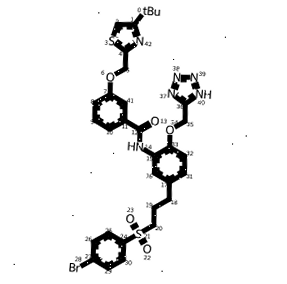 CC(C)(C)c1csc(COc2cccc(C(=O)Nc3cc(CCCS(=O)(=O)c4ccc(Br)cc4)ccc3OCc3nnn[nH]3)c2)n1